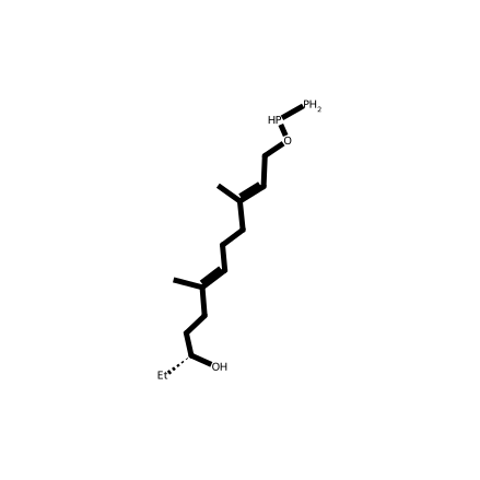 CC[C@@H](O)CC/C(C)=C/CC/C(C)=C/COPP